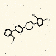 CCOc1ncccc1-c1ccc(N2CCN(c3ccc(C(F)(F)F)cc3C#N)CC2)cc1